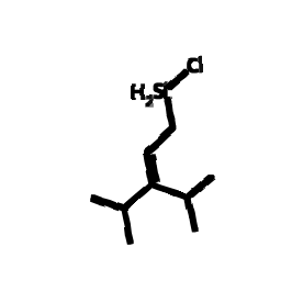 CC(C)C(=CC[SiH2]Cl)C(C)C